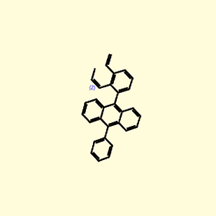 C=Cc1cccc(-c2c3ccccc3c(-c3ccccc3)c3ccccc23)c1/C=C\C